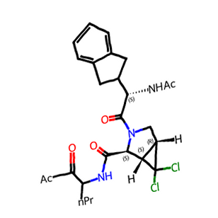 CCCC(NC(=O)[C@@H]1[C@@H]2[C@H](CN1C(=O)[C@@H](NC(C)=O)C1Cc3ccccc3C1)C2(Cl)Cl)C(=O)C(C)=O